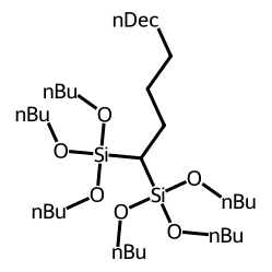 CCCCCCCCCCCCCC([Si](OCCCC)(OCCCC)OCCCC)[Si](OCCCC)(OCCCC)OCCCC